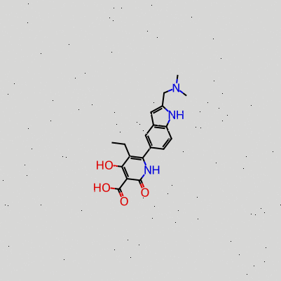 CCc1c(-c2ccc3[nH]c(CN(C)C)cc3c2)[nH]c(=O)c(C(=O)O)c1O